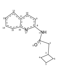 O=C(CC1CCC1)Nc1ccc2ccccc2n1